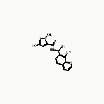 CC(C)C(NC(=O)c1cc(O)nn1C)c1ccc2cccnc2c1O